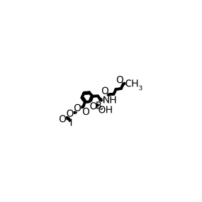 CC(=O)CCCC(=O)N[C@H]1Cc2cccc(C(=O)OCOC(=O)I)c2OB1O